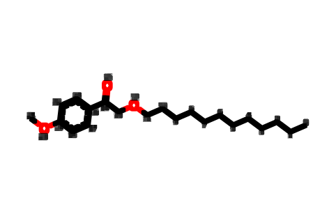 CCCCCCCCCCCCOCC(=O)c1ccc(OC)cc1